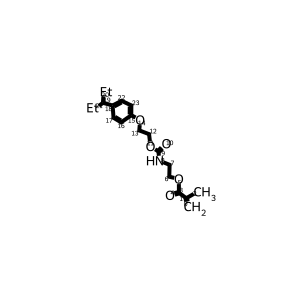 C=C(C)C(=O)OCCNC(=O)OCCOc1ccc(C(CC)CC)cc1